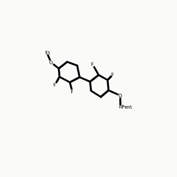 CCCCCOC1CCC(C2CCC(OCC)C(F)C2F)C(F)C1F